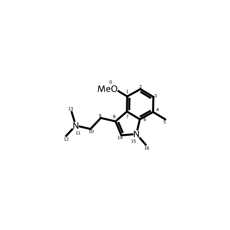 COc1ccc(C)c2c1c(CCN(C)C)cn2C